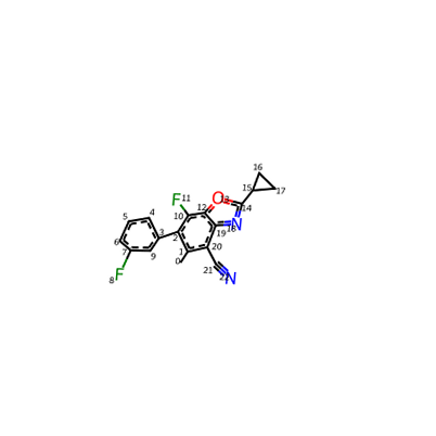 Cc1c(-c2cccc(F)c2)c(F)c2oc(C3CC3)nc2c1C#N